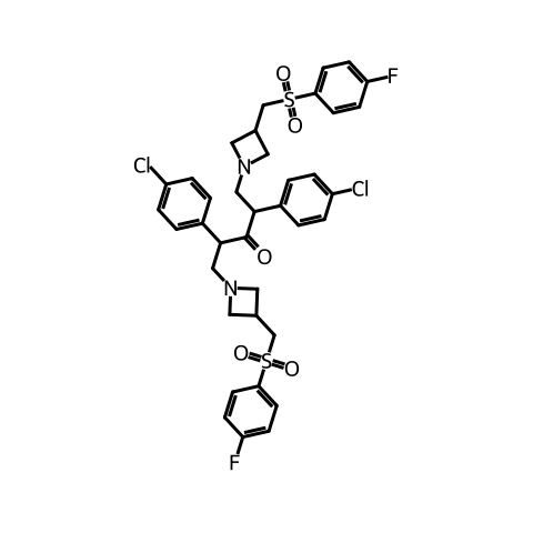 O=C(C(CN1CC(CS(=O)(=O)c2ccc(F)cc2)C1)c1ccc(Cl)cc1)C(CN1CC(CS(=O)(=O)c2ccc(F)cc2)C1)c1ccc(Cl)cc1